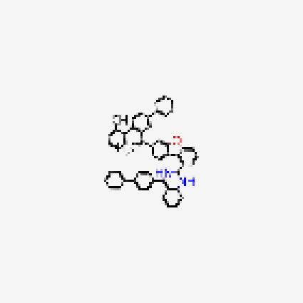 C=C(c1ccc2c(c1)oc1cccc(C3NC(c4ccc(-c5ccccc5)cc4)=C4C=CC=CC4N3)c12)c1cc(-c2ccccc2)ccc1-c1ccccc1C